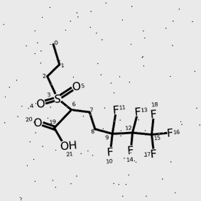 CCCS(=O)(=O)C(CCC(F)(F)C(F)(F)C(F)(F)F)C(=O)O